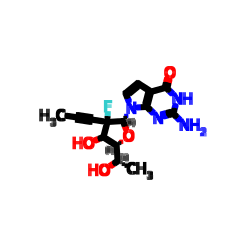 CC#CC1(F)C(O)[C@@H]([C@H](C)O)O[C@H]1n1ccc2c(=O)[nH]c(N)nc21